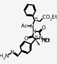 CCOC(=O)C[C@H](c1ccccc1)N(C(C)=O)N1C(=O)N(CC)[C@](C)(c2ccc(C=NN)cc2)C1=O.Cl